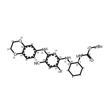 CC(C)(C)OC(=O)N[C@H]1CCCC[C@H]1Nc1nc(Nc2ccc3c(c2)OCCO3)c(C#N)cc1F